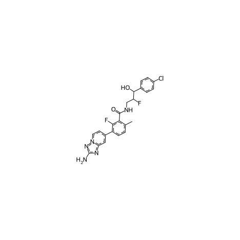 Cc1ccc(-c2ccn3nc(N)nc3c2)c(F)c1C(=O)NCC(F)C(O)c1ccc(Cl)cc1